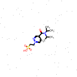 CC(C)N(C(=O)c1cc[n+](CCS(=O)(=O)O)nc1)C(C)C